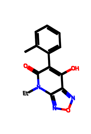 CCn1c(=O)c(-c2ccccc2C)c(O)c2nonc21